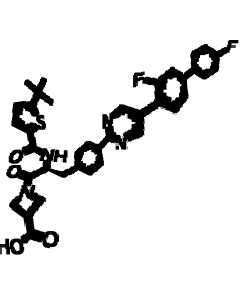 CC(C)(C)c1ccc(C(=O)N[C@@H](Cc2ccc(-c3ncc(-c4ccc(-c5ccc(F)cc5)cc4F)cn3)cc2)C(=O)N2CC(C(=O)O)C2)s1